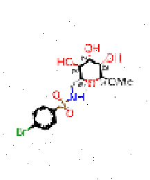 CO[C@H]1O[C@H](CNS(=O)(=O)c2ccc(Br)cc2)[C@@H](O)[C@H](O)[C@@H]1O